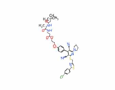 C[C@H](NC(=O)CC(C)(C)C)C(=O)NCCC(=O)OCCOc1ccc(-c2c(C#N)c(SCc3csc(-c4ccc(Cl)cc4)n3)nc(N3CCCC3)c2C#N)cc1